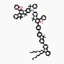 CCCCCCCC1(CCCCCCC)c2ccccc2-c2ccc(-c3ccc4c(c3)C(C)(C)c3cc(-c5ccc(-c6cc7c(c8c6oc6ccccc68)-c6ccc(N(c8ccc9c(c8)C(C)(C)c8c%10c(c%11c(oc%12ccccc%12%11)c8-9)-c8ccccc8C%10(C)C)c8ccccc8C(C)(C)C)cc6C7(C)C)cc5)ccc3-4)cc21